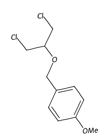 COc1ccc(COC(CCl)CCl)cc1